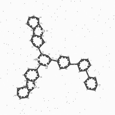 c1ccc(-c2cccc(-c3ccc(-c4cc(-c5ccc6c(c5)oc5ccccc56)nc(-c5ccc6c(c5)oc5ccccc56)n4)cc3)c2)cc1